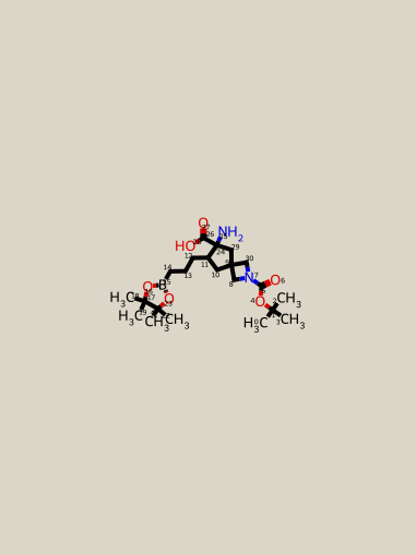 CC(C)(C)OC(=O)N1CC2(CC(CCCB3OC(C)(C)C(C)(C)O3)C(N)(C(=O)O)C2)C1